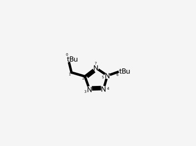 CC(C)(C)Cc1nnn(C(C)(C)C)n1